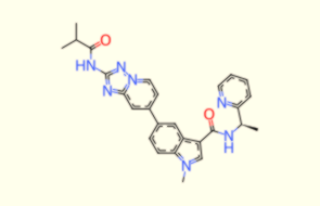 CC(C)C(=O)Nc1nc2cc(-c3ccc4c(c3)c(C(=O)N[C@H](C)c3ccccn3)cn4C)ccn2n1